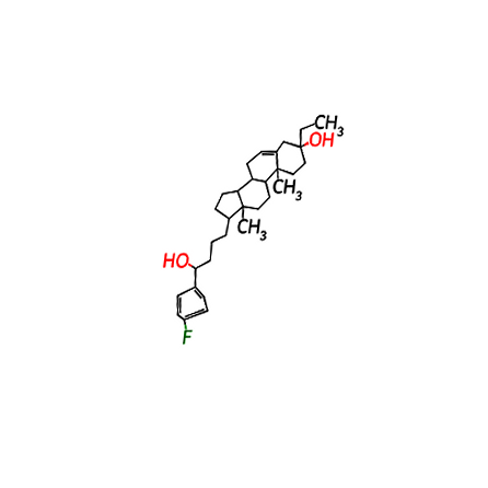 CC[C@]1(O)CCC2(C)C(=CCC3C2CCC2(C)C(CCCC(O)c4ccc(F)cc4)CCC32)C1